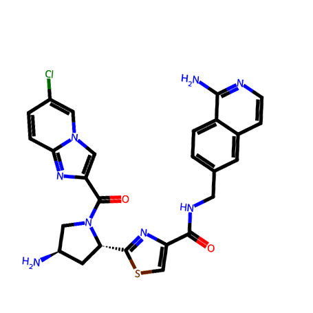 Nc1nccc2cc(CNC(=O)c3csc([C@@H]4C[C@@H](N)CN4C(=O)c4cn5cc(Cl)ccc5n4)n3)ccc12